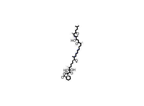 CO[C@@H](CCCC[C@@H](C)C(O)(O)C(=O)C(=O)N1CCCC[C@H]1C(=O)O)/C(C)=C/C=C/C=C/CC[C@@H](C)C(=O)C[C@H](O)/C(C)=C/[C@@H](C)C(=O)CCC(C)C